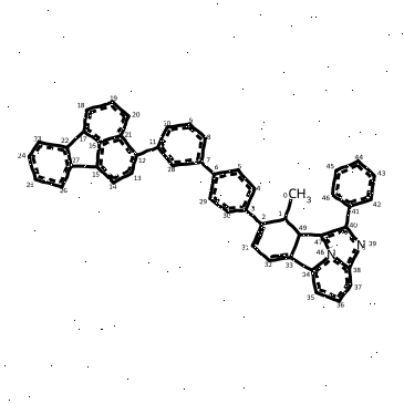 CC1C(c2ccc(-c3cccc(-c4ccc5c6c(cccc46)-c4ccccc4-5)c3)cc2)=CC=C2c3cccc4nc(-c5ccccc5)c(n34)C21